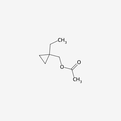 CCC1(COC(C)=O)CC1